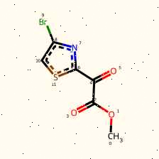 COC(=O)C(=O)c1nc(Br)cs1